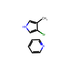 Cc1c[nH]cc1Br.c1ccncc1